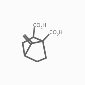 C=C1C2CCC1(C(=O)O)C(C(=O)O)C2